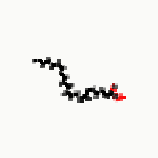 CCCCC/C=C\C/C=C/C/C=C\C/C=C\C/C=C/CCC(=O)O